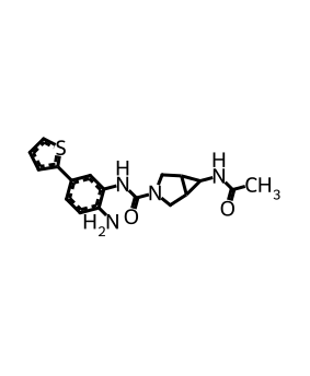 CC(=O)NC1C2CN(C(=O)Nc3cc(-c4cccs4)ccc3N)CC21